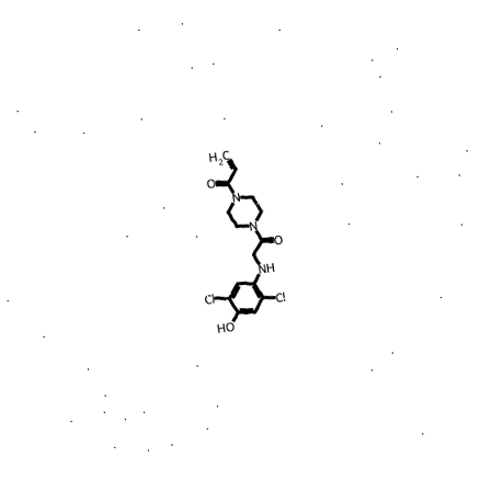 C=CC(=O)N1CCN(C(=O)CNc2cc(Cl)c(O)cc2Cl)CC1